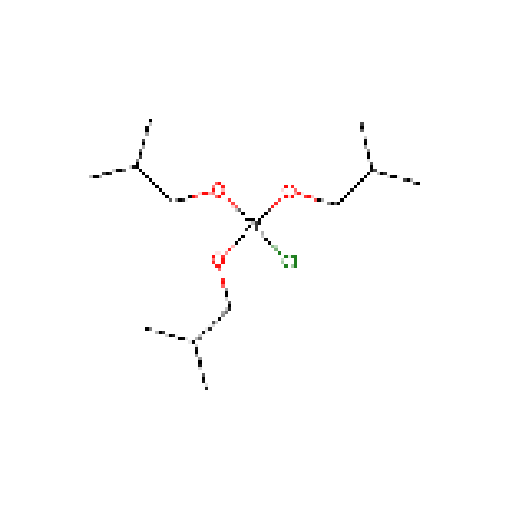 CC(C)C[O][Zr]([Cl])([O]CC(C)C)[O]CC(C)C